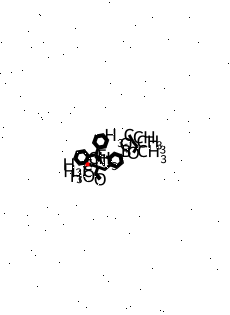 CC(C)(C)C(Cc1ccc(B2OC(C)(C)C(C)(C)O2)cc1F)(N=C(c1ccccc1)c1ccccc1)C(=O)O